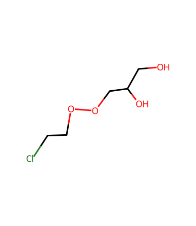 OCC(O)COOCCCl